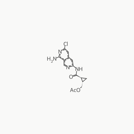 CC(=O)OC[C@H]1C[C@@H]1C(=O)Nc1cc2cc(Cl)nc(N)c2cn1